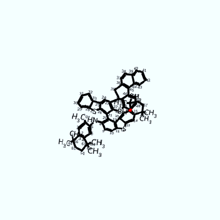 Cc1cc2c(cc1Nc1ccc3sc4cc5c(cc4c3c1-c1c3c(cc4c1sc1ccccc14)C1Cc4ccc6ccccc6c4-c4cccc(c41)B3)C(C)(C)CCC5(C)C)C(C)(C)CCC2(C)C